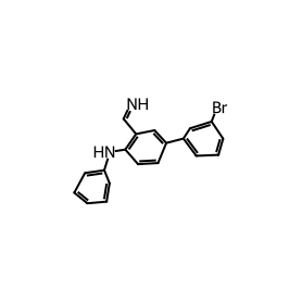 N=Cc1cc(-c2cccc(Br)c2)ccc1Nc1ccccc1